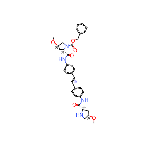 CO[C@@H]1C[C@@H](C(=O)Nc2ccc(/C=C/c3ccc(NC(=O)[C@@H]4C[C@@H](OC)CN4)cc3)cc2)N(C(=O)OCc2ccccc2)C1